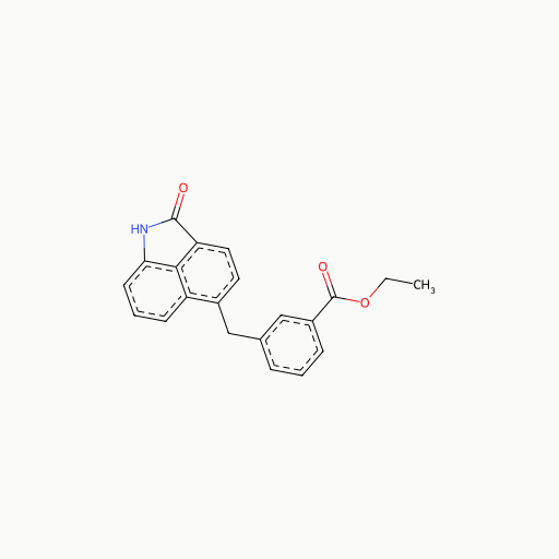 CCOC(=O)c1cccc(Cc2ccc3c4c(cccc24)NC3=O)c1